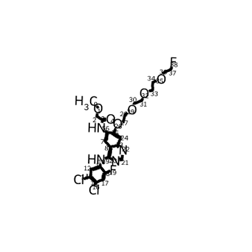 COCC(=O)Nc1cc2c(Nc3cc(Cl)c(Cl)cc3F)ncnc2cc1OCCOCCOCCOCCF